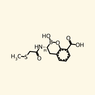 CSCC(=O)N[C@H]1Cc2cccc(C(=O)O)c2OB1O